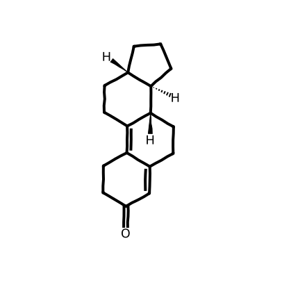 O=C1C=C2CC[C@@H]3C(=C2CC1)CC[C@@H]1CCC[C@H]13